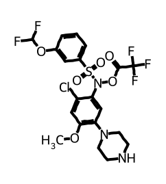 COc1cc(Cl)c(N(OC(=O)C(F)(F)F)S(=O)(=O)c2cccc(OC(F)F)c2)cc1N1CCNCC1